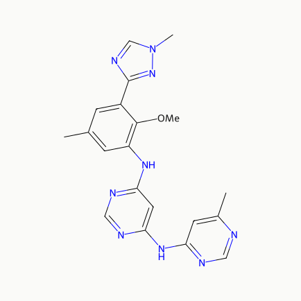 COc1c(Nc2cc(Nc3cc(C)ncn3)ncn2)cc(C)cc1-c1ncn(C)n1